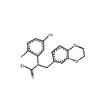 CCC(=O)N(Cc1ccc2c(c1)OCCO2)c1cc(C#N)ccc1F